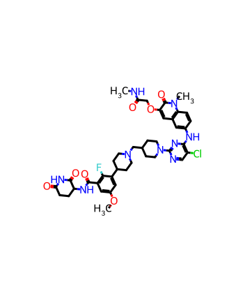 CNC(=O)COc1cc2cc(Nc3nc(N4CCC(CN5CCC(c6cc(OC)cc(C(=O)NC7CCC(=O)NC7=O)c6F)CC5)CC4)ncc3Cl)ccc2n(C)c1=O